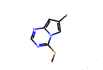 CSc1ncnc2cc(I)cn12